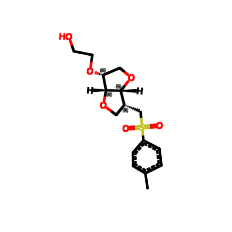 Cc1ccc(S(=O)(=O)C[C@@H]2CO[C@H]3[C@@H]2OC[C@H]3OCCO)cc1